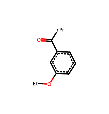 [CH2]CCC(=O)c1cccc(OCC)c1